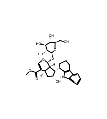 COC(=O)C1=CO[C@@H](O[C@@H]2O[C@H](CO)[C@@H](O)[C@H](O)[C@H]2O)[C@H]2[C@H]([C@H]3CCCc4c3[nH]c3ccccc43)[C@H](O)C[C@@H]12